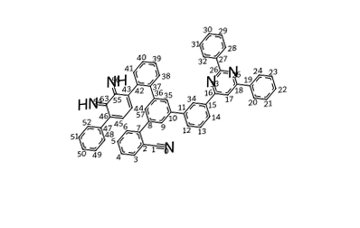 N#Cc1ccccc1-c1cc(-c2cccc(-c3cc(-c4ccccc4)nc(-c4ccccc4)n3)c2)cc(-c2ccccc2C2=CC=C(c3ccccc3)C(=N)C2=N)c1